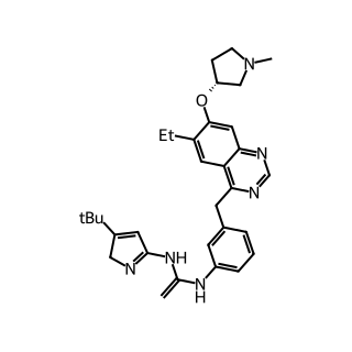 C=C(NC1=NCC(C(C)(C)C)=C1)Nc1cccc(Cc2ncnc3cc(O[C@@H]4CCN(C)C4)c(CC)cc23)c1